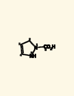 O=C(O)N1CC=CN1